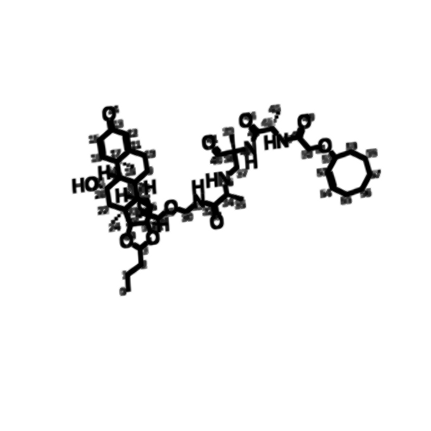 CCCC1O[C@@H]2C[C@H]3[C@@H]4CCC5=CC(=O)C=C[C@]5(C)[C@H]4[C@@H](O)C[C@]3(C)[C@]2(C(=O)COCNC(=O)[C@H](C)NC[C@](C)(C=O)NC(=O)[C@H](C)NC(=O)COC2/C=C\CCCCC2)O1